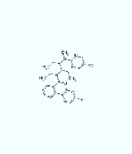 CCC(C(CC)N(C)c1ncc(Cl)cn1)N(CC)C(=O)c1ccccc1-c1ncc(F)cn1